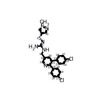 Cn1cc(S/N=C(\N)NCc2cnc(-c3ccc(Cl)cc3)c(-c3ccc(Cl)cc3)c2)cn1